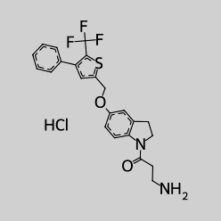 Cl.NCCC(=O)N1CCc2cc(OCc3cc(-c4ccccc4)c(C(F)(F)F)s3)ccc21